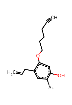 C#CCCCCOc1cc(O)c(C(C)=O)cc1CC=C